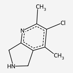 Cc1nc2c(c(C)c1Cl)CNC2